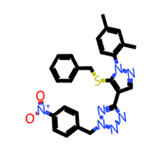 Cc1ccc(-n2ncc(-c3nnn(Cc4ccc([N+](=O)[O-])cc4)n3)c2SCc2ccccc2)c(C)c1